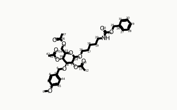 COc1ccc(CO[C@@H]2[C@H](OC(C)=O)C(OCCCCCNC(=O)OCc3ccccc3)OC(COC(C)=O)[C@@H]2OC(C)=O)cc1